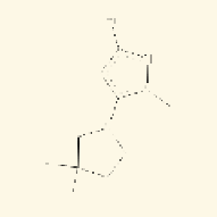 Cn1nc(Br)cc1N1CCC(F)(F)C1